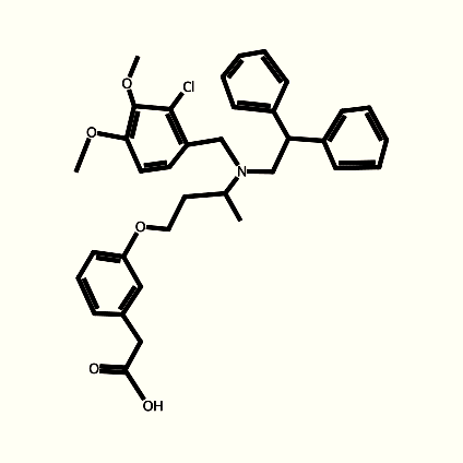 COc1ccc(CN(CC(c2ccccc2)c2ccccc2)C(C)CCOc2cccc(CC(=O)O)c2)c(Cl)c1OC